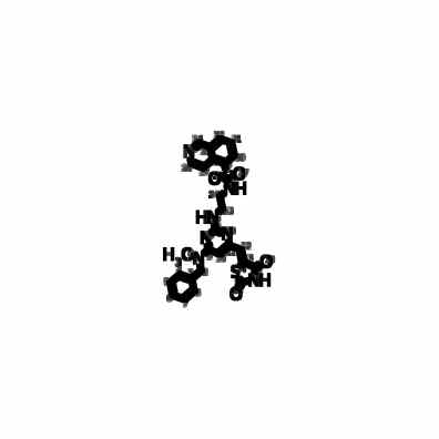 CN(Cc1ccccc1)c1cc(/C=C2\SC(=O)NC2=O)nc(NCCNS(=O)(=O)c2cccc3cnccc23)n1